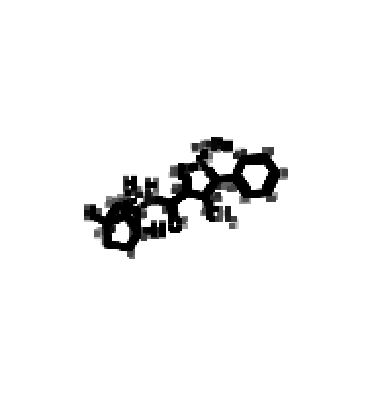 C=C1[C@@H]2CC[C@H]1[C@@H](NC(=O)C1=NN(CCCC)C(c3ccccc3)C1C)C2